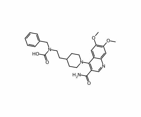 COc1cc2ncc(C(N)=O)c(N3CCC(CCN(Cc4ccccc4)C(=O)O)CC3)c2cc1OC